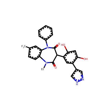 CCN1C(=O)C(c2cc(-c3cn[nH]c3)c(O)cc2O)C(=O)N(c2ccccc2)c2cc(C(F)(F)F)ccc21